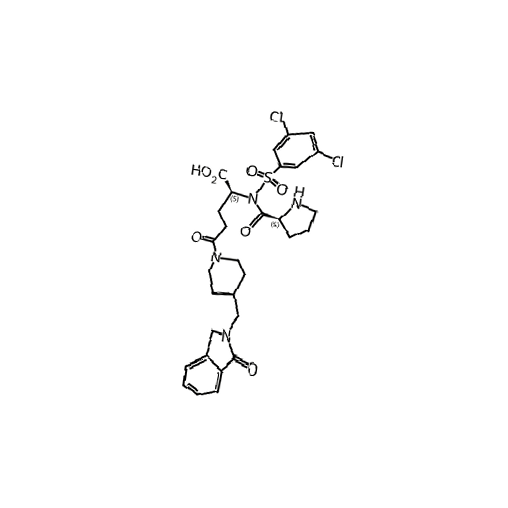 O=C(O)[C@H](CCC(=O)N1CCC(CN2Cc3ccccc3C2=O)CC1)N(C(=O)[C@@H]1CCCN1)S(=O)(=O)c1cc(Cl)cc(Cl)c1